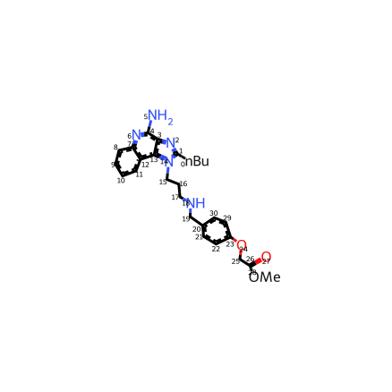 CCCCc1nc2c(N)nc3ccccc3c2n1CCCNCc1ccc(OCC(=O)OC)cc1